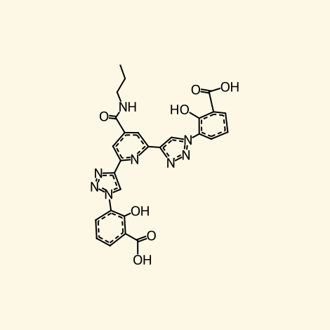 CCCNC(=O)c1cc(-c2cn(-c3cccc(C(=O)O)c3O)nn2)nc(-c2cn(-c3cccc(C(=O)O)c3O)nn2)c1